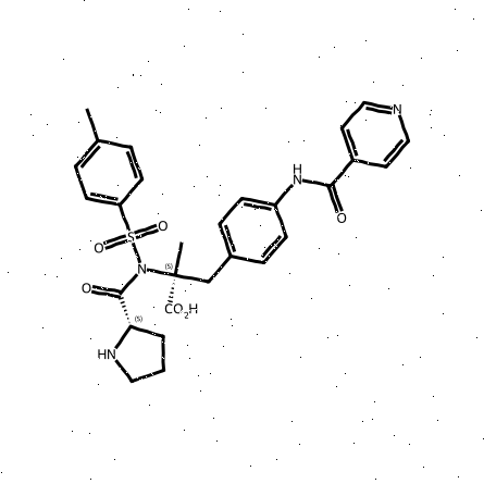 Cc1ccc(S(=O)(=O)N(C(=O)[C@@H]2CCCN2)[C@@](C)(Cc2ccc(NC(=O)c3ccncc3)cc2)C(=O)O)cc1